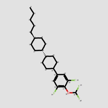 CCCCC[C@H]1CC[C@H](C2CCC(c3cc(F)c(OC(F)F)c(F)c3)CC2)CC1